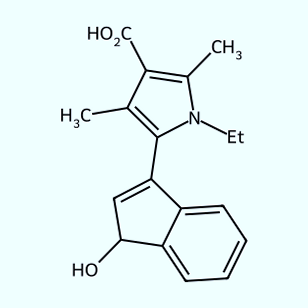 CCn1c(C)c(C(=O)O)c(C)c1C1=CC(O)c2ccccc21